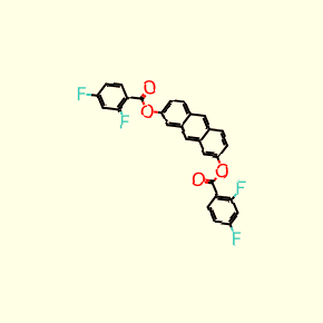 O=C(Oc1ccc2cc3ccc(OC(=O)c4ccc(F)cc4F)cc3cc2c1)c1ccc(F)cc1F